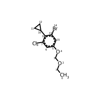 CCOCOc1cc(Cl)c(C2CC2)c(Br)c1